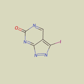 O=C1N=CC2=C(I)N=NC2=N1